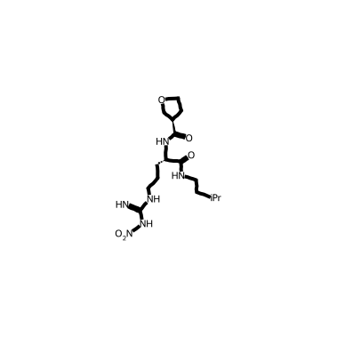 CC(C)CCNC(=O)[C@H](CCCNC(=N)N[N+](=O)[O-])NC(=O)[C@@H]1CCOC1